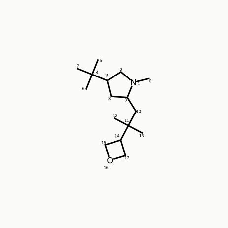 CN1CC(C(C)(C)C)CC1CC(C)(C)C1COC1